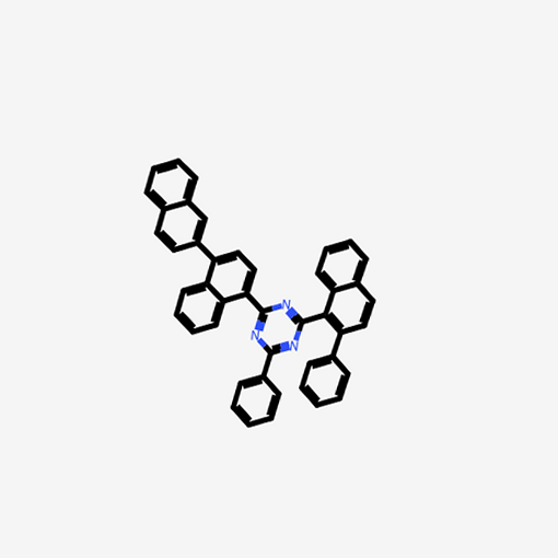 c1ccc(-c2nc(-c3c(-c4ccccc4)ccc4ccccc34)nc(-c3ccc(-c4ccc5ccccc5c4)c4ccccc34)n2)cc1